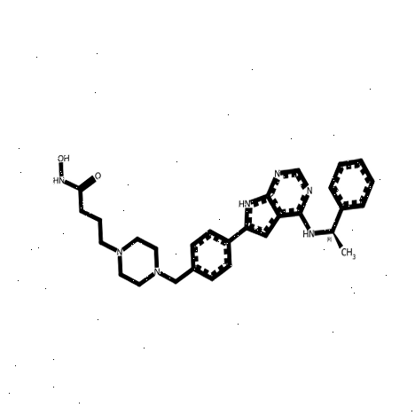 C[C@@H](Nc1ncnc2[nH]c(-c3ccc(CN4CCN(CCCC(=O)NO)CC4)cc3)cc12)c1ccccc1